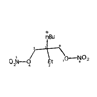 CCCCC(CC)(CO[N+](=O)[O-])CO[N+](=O)[O-]